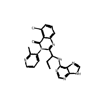 CCC(Nc1ncnc2[nH]cnc12)c1nc2cccc(Cl)c2c(=O)n1-c1cccnc1C